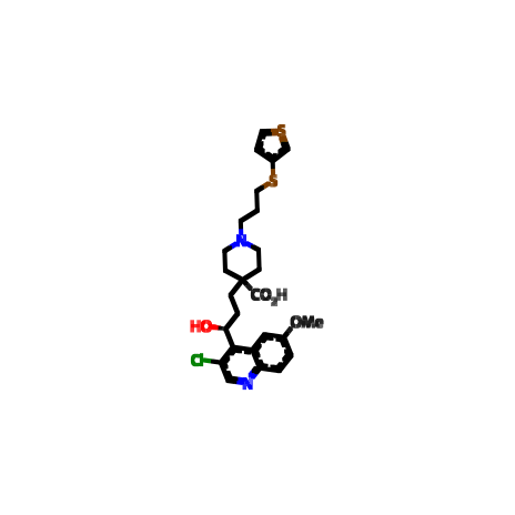 COc1ccc2ncc(Cl)c([C@@H](O)CCC3(C(=O)O)CCN(CCCSc4ccsc4)CC3)c2c1